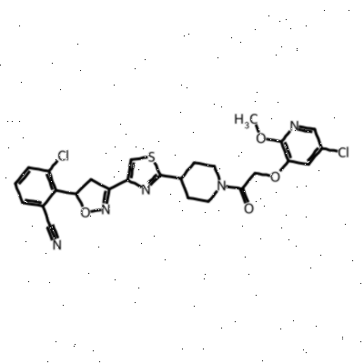 COc1ncc(Cl)cc1OCC(=O)N1CCC(c2nc(C3=NOC(c4c(Cl)cccc4C#N)C3)cs2)CC1